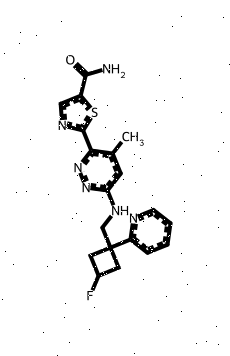 Cc1cc(NCC2(c3ccccn3)CC(F)C2)nnc1-c1ncc(C(N)=O)s1